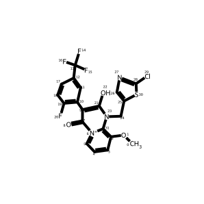 COc1ccc[n+]2c(=O)c(-c3cc(C(F)(F)F)ccc3F)c(O)n(Cc3cnc(Cl)s3)c12